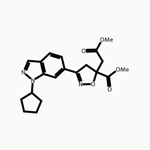 COC(=O)CC1(C(=O)OC)CC(c2ccc3cnn(C4CCCC4)c3c2)=NO1